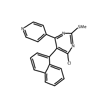 CSc1nc(Cl)c(-c2cccc3ccccc23)c(-c2ccncc2)n1